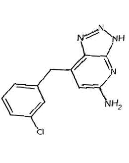 Nc1cc(Cc2cccc(Cl)c2)c2nn[nH]c2n1